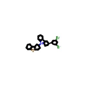 Brc1cc(Br)cc(-c2ccc3c(c2)c2ccccc2n3-c2ccc3sc4ccccc4c3c2)c1